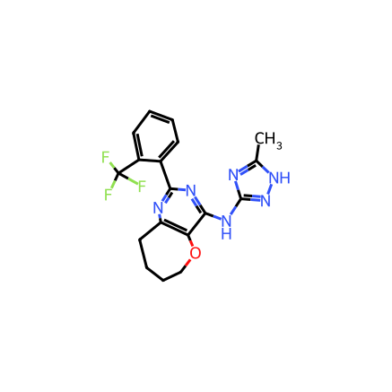 Cc1nc(Nc2nc(-c3ccccc3C(F)(F)F)nc3c2OCCCC3)n[nH]1